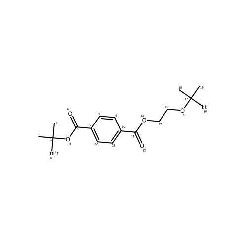 CCCC(C)(C)OC(=O)c1ccc(C(=O)OCCOC(C)(C)CC)cc1